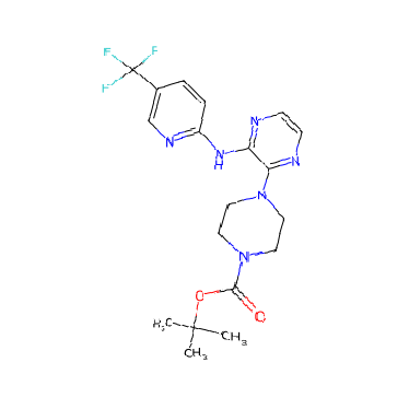 CC(C)(C)OC(=O)N1CCN(c2nccnc2Nc2ccc(C(F)(F)F)cn2)CC1